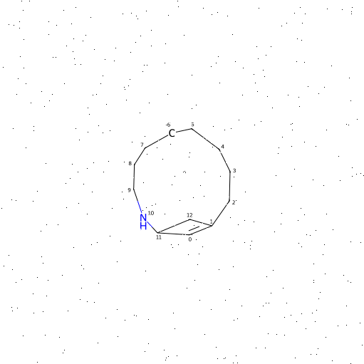 C1=C2CCCCCCCCNC1C2